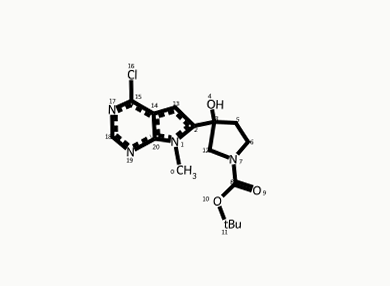 Cn1c(C2(O)CCN(C(=O)OC(C)(C)C)C2)cc2c(Cl)ncnc21